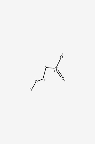 [CH2]OCC[N+](=O)[O-]